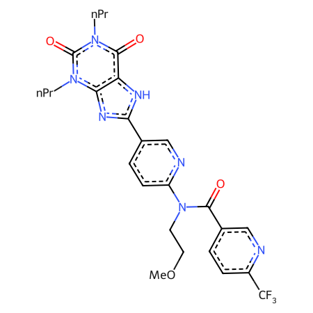 CCCn1c(=O)c2[nH]c(-c3ccc(N(CCOC)C(=O)c4ccc(C(F)(F)F)nc4)nc3)nc2n(CCC)c1=O